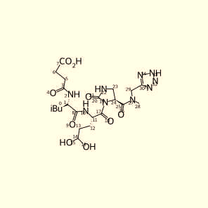 CC[C@H](C)[C@H](NC(=O)CCC(=O)O)C(=O)N[C@@H](CCC(O)O)C(=O)N1C(=O)NC[C@H]1C(=O)N(C)Cc1nn[nH]n1